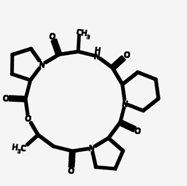 CC1CC(=O)N2CCCC2C(=O)N2CCCCC2C(=O)NC(C)C(=O)N2CCCC2C(=O)O1